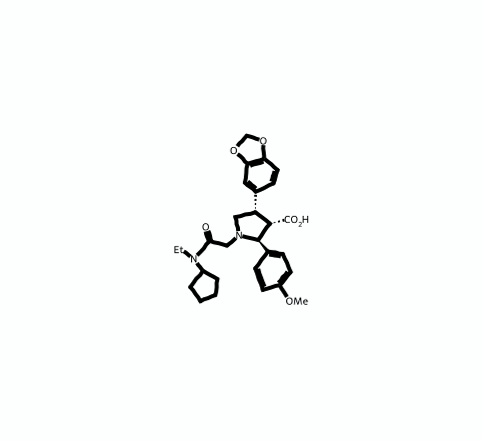 CCN(C(=O)CN1C[C@H](c2ccc3c(c2)OCO3)[C@H](C(=O)O)[C@H]1c1ccc(OC)cc1)C1CCCC1